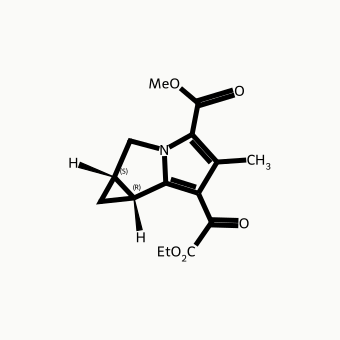 CCOC(=O)C(=O)c1c(C)c(C(=O)OC)n2c1[C@@H]1C[C@@H]1C2